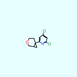 Clc1cc(Cl)nc(C23CCOCC2C3)c1